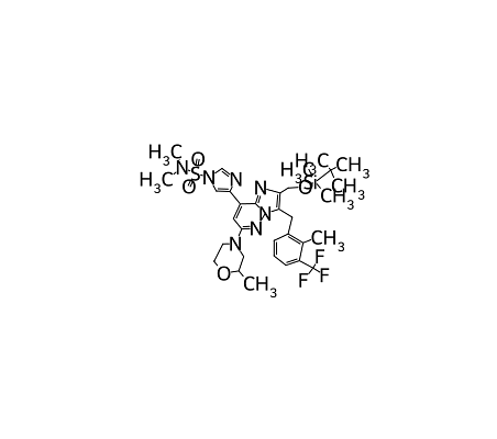 Cc1c(Cc2c(CO[Si](C)(C)C(C)(C)C)nc3c(-c4cn(S(=O)(=O)N(C)C)cn4)cc(N4CCOC(C)C4)nn23)cccc1C(F)(F)F